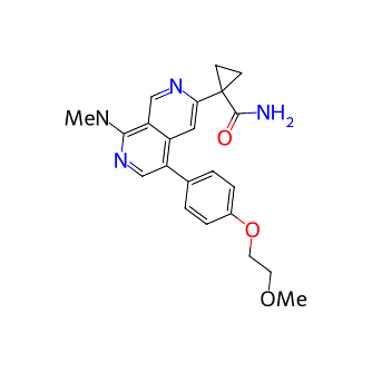 CNc1ncc(-c2ccc(OCCOC)cc2)c2cc(C3(C(N)=O)CC3)ncc12